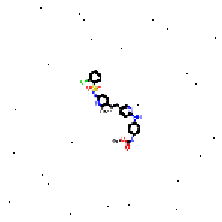 COc1nc(NS(=O)(=O)c2ccccc2Cl)ccc1CCc1ccc(NC2CCC(NC(=O)OC(C)(C)C)CC2)nc1